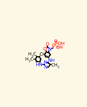 Cc1cnc(Nc2cc(C)c(C)c(C)c2)nc1Nc1ccc2oc(=O)n(COP(=O)(O)O)c2c1